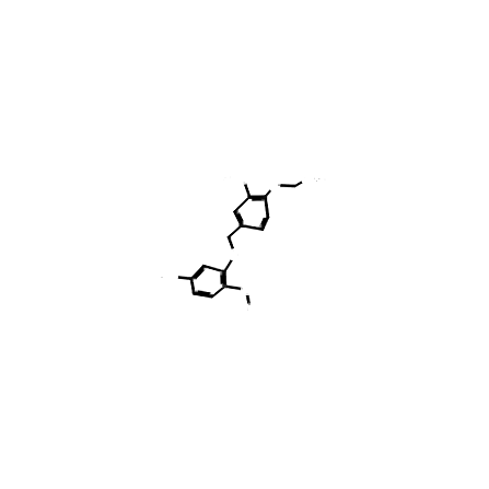 CCOc1ccc(C=O)cc1OCc1ccc(OCOC)c(OC)c1